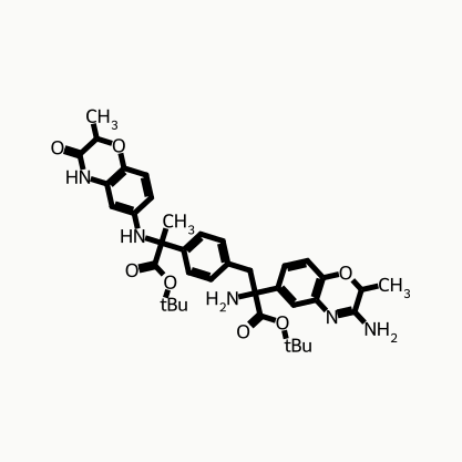 CC1Oc2ccc(NC(C)(C(=O)OC(C)(C)C)c3ccc(CC(N)(C(=O)OC(C)(C)C)c4ccc5c(c4)N=C(N)C(C)O5)cc3)cc2NC1=O